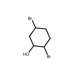 OC1CC(Br)C[CH]C1Br